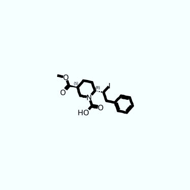 COC(=O)[C@H]1CC[C@H](C(I)Cc2ccccc2)N(C(=O)O)C1